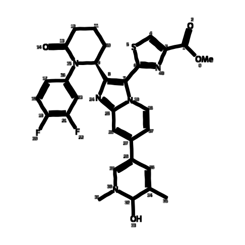 COC(=O)c1csc(-c2c([C@@H]3CCCC(=O)N3c3ccc(F)c(F)c3)nc3cc(C4=CN(C)C(O)C(C)=C4)ccn23)n1